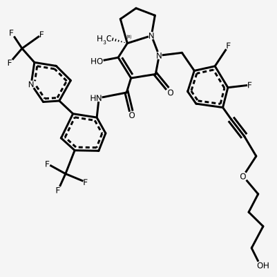 C[C@]12CCCN1N(Cc1ccc(C#CCOCCCCO)c(F)c1F)C(=O)C(C(=O)Nc1ccc(C(F)(F)F)cc1-c1ccc(C(F)(F)F)nc1)=C2O